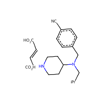 CC(C)CN(Cc1ccc(C#N)cc1)C1CCNCC1.O=C(O)/C=C/C(=O)O